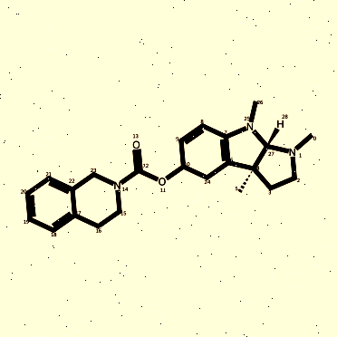 CN1CC[C@@]2(C)C3=C(C=CC(OC(=O)N4CCc5ccccc5C4)C3)N(C)[C@H]12